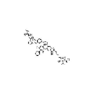 COC(=O)NCC(=O)N1CCC[C@H]1c1nc2cc([C@H]3CC[C@H](c4ccc5[nH]c(CCCCNC(=O)C(NC(=O)OC)C(C)C)nc5c4)N3c3cc(F)c(N4CCCCC4)c(F)c3F)ccc2[nH]1